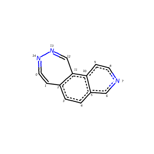 C1=Cc2ccc3cnccc3c2C=NN=1